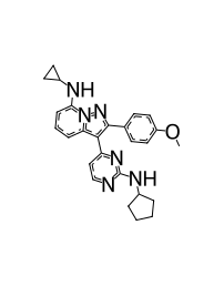 COc1ccc(-c2nn3c(NC4CC4)cccc3c2-c2ccnc(NC3CCCC3)n2)cc1